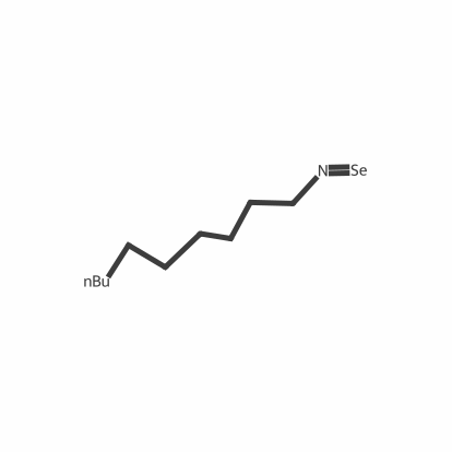 CCCCCCCCCCN=[Se]